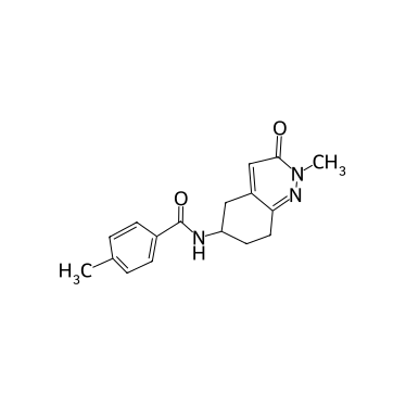 Cc1ccc(C(=O)NC2CCc3nn(C)c(=O)cc3C2)cc1